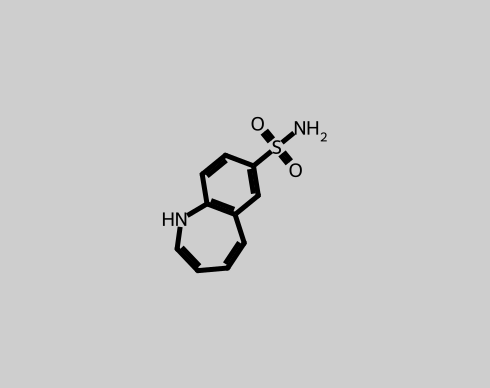 NS(=O)(=O)c1ccc2c(c1)C=CC=CN2